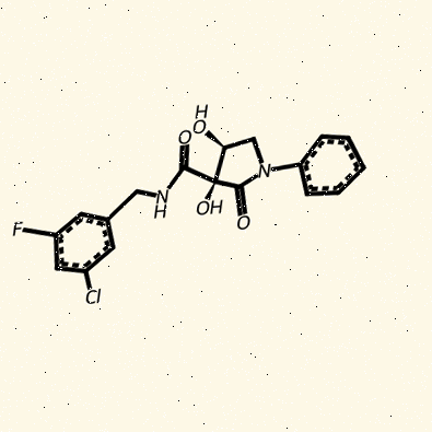 O=C(NCc1cc(F)cc(Cl)c1)[C@@]1(O)C(=O)N(c2ccccc2)C[C@@H]1O